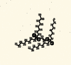 CCCCCCCCP(=O)(CCCCCCCC)OC=COP(=O)(CCCCCCCC)CCCCCCCC